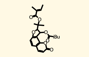 CC=C(C)C(=O)OC(C)(C)C1Oc2ccc3ccc(=O)oc3c2C1OC(=O)C(C)CC